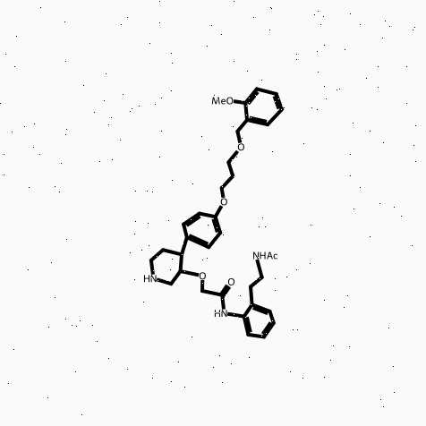 COc1ccccc1COCCCOc1ccc(C2CCNCC2OCC(=O)Nc2ccccc2CCNC(C)=O)cc1